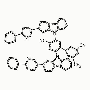 N#Cc1cc(-c2cc(-n3c4ccccc4c4ccc(-c5ccc(-c6ccccc6)nc5)cc43)c(C#N)cc2-n2c3ccccc3c3ccc(-c4ccc(-c5ccccc5)nc4)cc32)cc(C(F)(F)F)c1